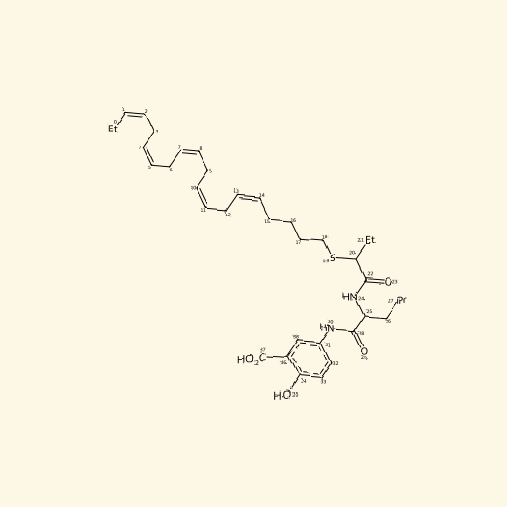 CC/C=C\C/C=C\C/C=C\C/C=C\C/C=C\CCCCSC(CC)C(=O)NC(CC(C)C)C(=O)Nc1ccc(O)c(C(=O)O)c1